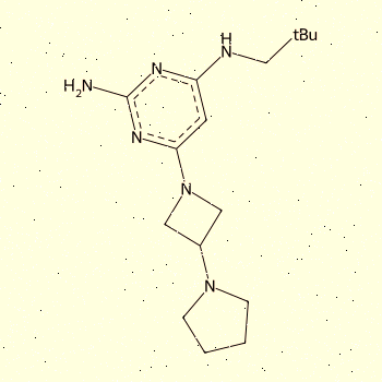 CC(C)(C)CNc1cc(N2CC(N3CCCC3)C2)nc(N)n1